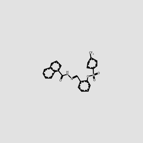 O=C(NN=Cc1ccccc1OS(=O)(=O)c1ccc(C(F)(F)F)cc1)c1cccc2ccccc12